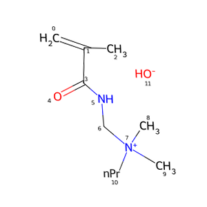 C=C(C)C(=O)NC[N+](C)(C)CCC.[OH-]